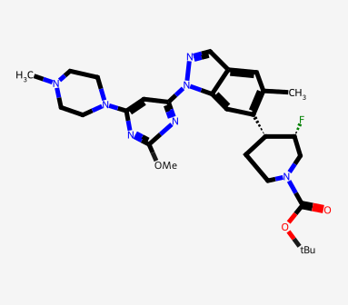 COc1nc(N2CCN(C)CC2)cc(-n2ncc3cc(C)c([C@H]4CCN(C(=O)OC(C)(C)C)C[C@H]4F)cc32)n1